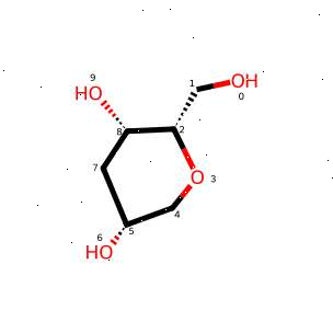 OC[C@@H]1OC[C@H](O)C[C@@H]1O